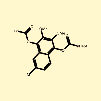 CCCCCCCC(=O)Oc1c(OC)c(OC)c(OC(=O)C(C)C)c2cc(Cl)ccc12